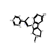 C/C(=C\n1c2c(c3cc(Cl)ccc31)CCN(C)C2)c1ccncn1